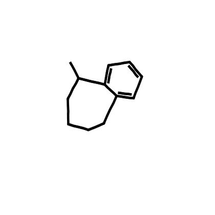 CC1CCCCc2ccccc21